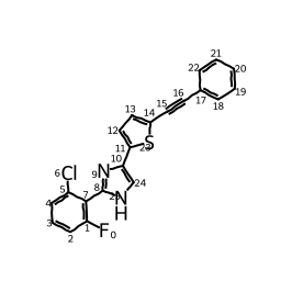 Fc1cccc(Cl)c1-c1nc(-c2ccc(C#Cc3ccccc3)s2)c[nH]1